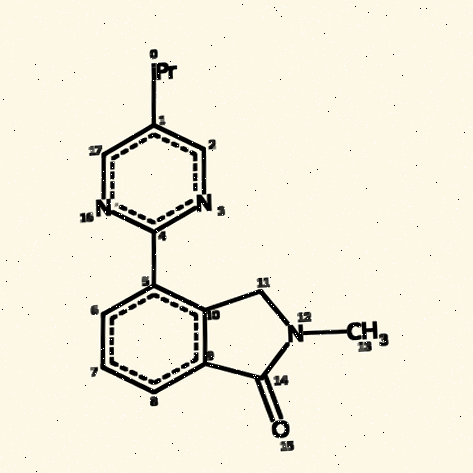 CC(C)c1cnc(-c2cccc3c2CN(C)C3=O)nc1